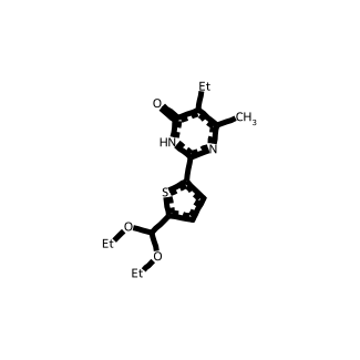 CCOC(OCC)c1ccc(-c2nc(C)c(CC)c(=O)[nH]2)s1